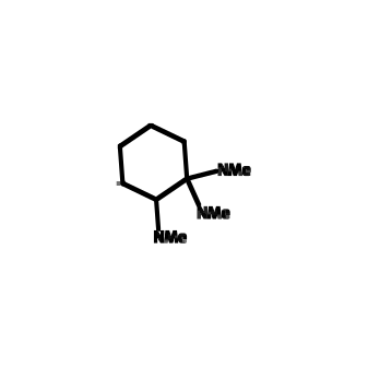 CNC1[CH]CCCC1(NC)NC